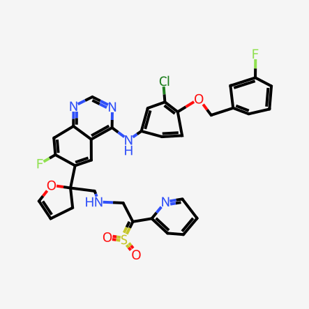 O=S(=O)=C(CNCC1(c2cc3c(Nc4ccc(OCc5cccc(F)c5)c(Cl)c4)ncnc3cc2F)CC=CO1)c1ccccn1